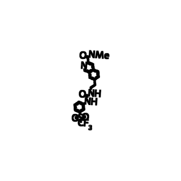 CNC(=O)c1cc2ccc(CCNC(=O)Nc3cccc(S(=O)(=O)C(F)(F)F)c3)cc2cn1